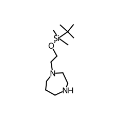 CC(C)(C)[Si](C)(C)OCCN1CCCNCC1